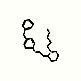 CCCCCN1CCCCC1CCOc1ccc(Cc2ccccc2)cc1